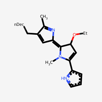 CCCCCCCCCCCC1=CC(=C2C(OCC)C=C(c3ccc[nH]3)N2C)N=C1C